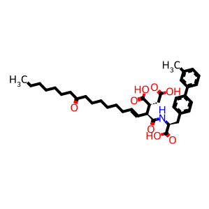 CCCCCCCC(=O)CCCCCC/C=C/[C@H](C(=O)N[C@@H](Cc1ccc(-c2cccc(C)c2)cc1)C(=O)O)[C@@H](CC(=O)O)C(=O)O